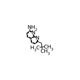 CC(C)(C)Cc1ccc2ccc(N)nc2n1